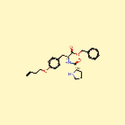 C=CCCOc1ccc(C[C@H](NC(=O)[C@@H]2CCCN2)C(=O)OCc2ccccc2)cc1